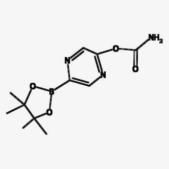 CC1(C)OB(c2cnc(OC(N)=O)cn2)OC1(C)C